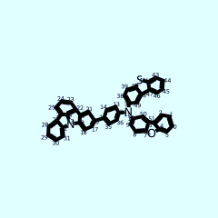 c1ccc2c(c1)oc1ccc(N(c3ccc(-c4ccc5c(c4)c4cccc6c7ccccc7n5c64)cc3)c3ccc4sc5ccccc5c4c3)cc12